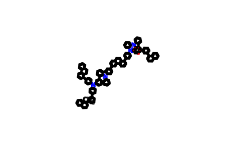 CC1(c2cccc(-c3ccc(N(c4ccc(-c5cccc6c5ccc5ccccc56)cc4)c4cccc(-c5cccc6c7cc(-c8ccc9ccc%10c(-c%11ccc(N(c%12ccc(-c%13cccc(-c%14cccc%15ccccc%14%15)c%13)cc%12)c%12ccccc%12-n%12c%13ccccc%13c%13ccccc%13%12)cc%11)cccc%10c9c8)ccc7n(-c7ccccc7)c56)c4)cc3)c2)CC=Cc2ccccc21